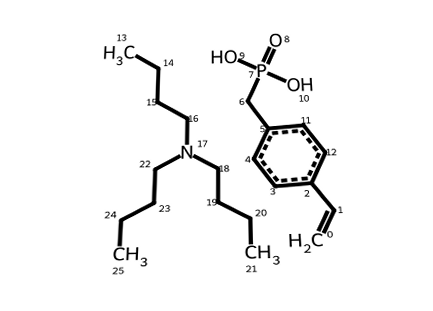 C=Cc1ccc(CP(=O)(O)O)cc1.CCCCN(CCCC)CCCC